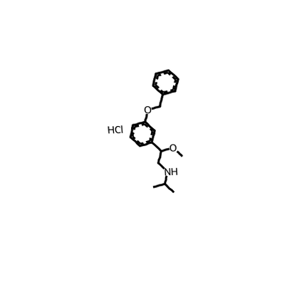 COC(CNC(C)C)c1cccc(OCc2ccccc2)c1.Cl